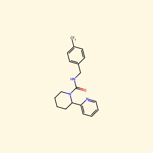 O=C(NCc1ccc(C(F)(F)F)cc1)N1CCCCC1c1ccccn1